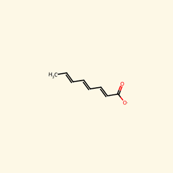 C/C=C/C=C/C=C/C([O])=O